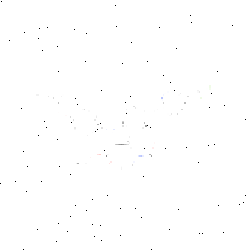 CCOC(=O)c1c(N(C)C(C)=O)c2cc(-c3ccc(C(F)(F)F)cn3)ccc2n1-c1ccc(OC(C)C)cc1